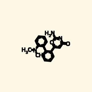 CN(C)c1ccccc1-c1ccccc1-c1cc(=O)nc(N)o1